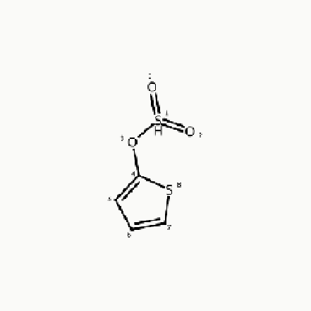 O=[SH](=O)Oc1cccs1